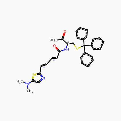 COC(=O)[C@@H](CSC(c1ccccc1)(c1ccccc1)c1ccccc1)NC(=O)/C=C/C=C/c1ncc(N(C)C)s1